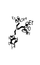 CCOP(=O)(O)CCN(CCn1cnc2c(=O)[nH]cnc21)CCP(=O)(OCC)OCC